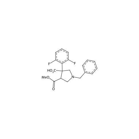 COC(=O)C1CN(Cc2ccccc2)CC1(C(=O)O)c1c(F)cccc1F